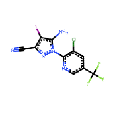 N#Cc1nn(-c2ncc(C(F)(F)F)cc2Cl)c(N)c1I